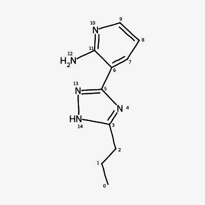 CCCc1nc(-c2cccnc2N)n[nH]1